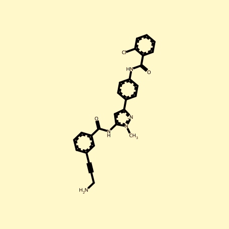 Cn1nc(-c2ccc(NC(=O)c3ccccc3Cl)cc2)cc1NC(=O)c1cccc(C#CCN)c1